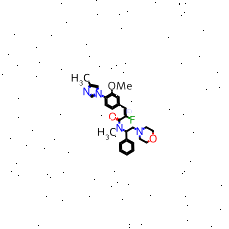 COc1cc(/C=C(/F)C(=O)N(C)C(CN2CCOCC2)c2ccccc2)ccc1-n1cnc(C)c1